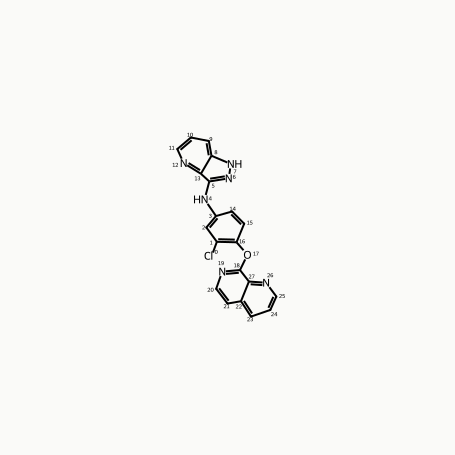 Clc1cc(Nc2n[nH]c3cccnc23)ccc1Oc1nccc2cccnc12